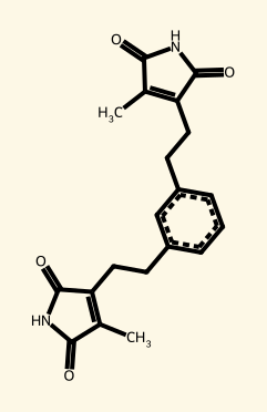 CC1=C(CCc2cccc(CCC3=C(C)C(=O)NC3=O)c2)C(=O)NC1=O